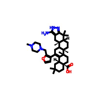 CN1CCN(Cc2occc2C2=C3[C@@H]4CC(C)(C)CC[C@]4(C(=O)O)CC[C@@]3(C)[C@]3(C)CC[C@H]4C(C)(C)c5n[nH]c(N)c5C[C@]4(C)C3C2)CC1